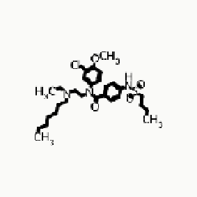 CCCCCCCN(CC)CCN(C(=O)c1ccc(NS(=O)(=O)CCCC)cc1)c1ccc(OC)c(Cl)c1